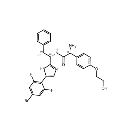 C[C@H](c1ccccc1)[C@H](NC(=O)[C@H](N)c1ccc(OCCO)cc1)c1ncc(-c2c(F)cc(Br)cc2F)[nH]1